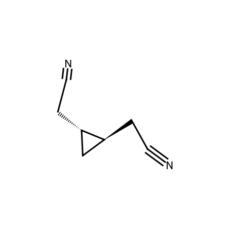 N#CC[C@H]1C[C@@H]1CC#N